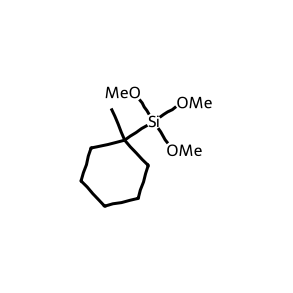 CO[Si](OC)(OC)C1(C)CCCCC1